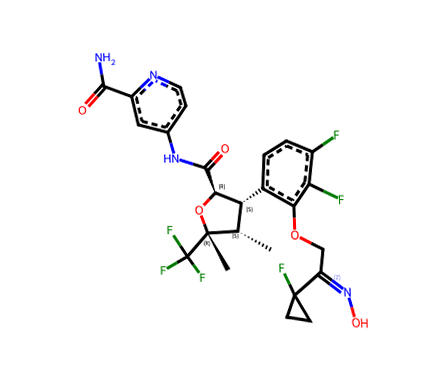 C[C@H]1[C@@H](c2ccc(F)c(F)c2OC/C(=N/O)C2(F)CC2)[C@H](C(=O)Nc2ccnc(C(N)=O)c2)O[C@@]1(C)C(F)(F)F